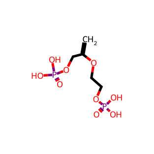 C=C(COP(=O)(O)O)OCCOP(=O)(O)O